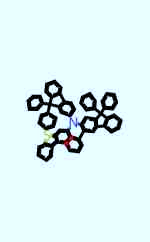 c1ccc(-c2cc3c(cc2N(c2ccc4c(c2)C(c2ccccc2)(c2ccccc2)c2ccccc2-4)c2ccc4c(c2)sc2ccccc24)C(c2ccccc2)(c2ccccc2)c2ccccc2-3)cc1